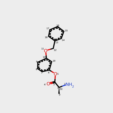 C[C@H](N)C(=O)Oc1cccc(OCc2ccccc2)c1